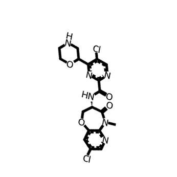 CN1C(=O)[C@@H](NC(=O)c2ncc(Cl)c(C3CNCCO3)n2)COc2cc(Cl)cnc21